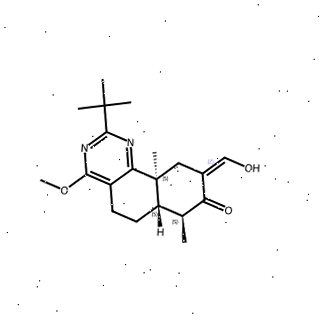 COc1nc(C(C)(C)C)nc2c1CC[C@H]1[C@H](C)C(=O)/C(=C\O)C[C@]21C